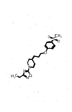 CCc1noc(N2CCC(CCCOc3ccc(S(C)(=O)=O)cc3)CC2)n1